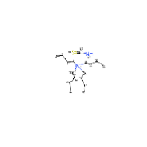 CCCC[N+](CCCC)(CCCC)CCCC.N=C=S